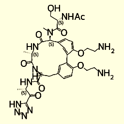 CC(=O)N[C@@H](CO)C(=O)N(C)[C@@H]1C(=O)N[C@@H](C)C(=O)N[C@H](C(=O)N[C@@H](C)C(=O)c2nnn[nH]2)Cc2ccc(OCCN)c(c2)-c2cc1ccc2OCCN